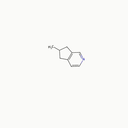 CC1Cc2ccncc2C1